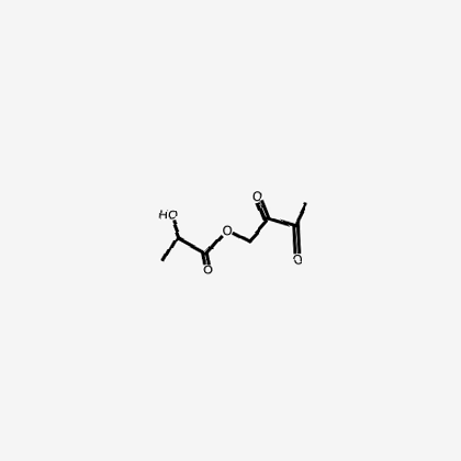 CC(=O)C(=O)COC(=O)C(C)O